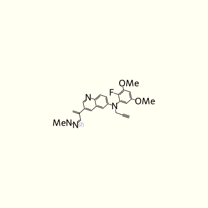 C#CCN(c1ccc2ncc(C(=C)/C=N\NC)cc2c1)c1cc(OC)cc(OC)c1F